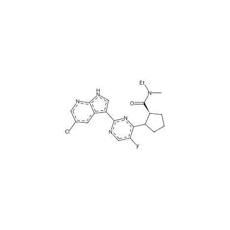 CCN(C)C(=O)[C@H]1CCCC1c1nc(-c2c[nH]c3ncc(Cl)cc23)ncc1F